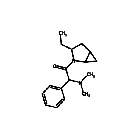 CCC1CC2CC2N1C(=O)C(c1ccccc1)N(C)C